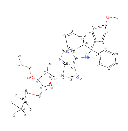 COc1ccc(C(Nc2ncnc3c2ncn3[C@@H]2O[C@H](CO[Si](C)(C)C(C)(C)C)C(OCSC)C2C)(c2ccccc2)c2ccccc2)cc1